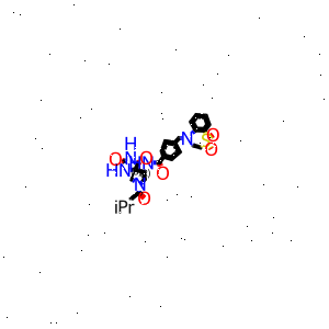 CC(C)CC(=O)N1C[C@@H](NC(=O)c2ccc(CN3CCS(=O)(=O)c4ccccc43)cc2)[C@]2(C1)NC(=O)NC2=O